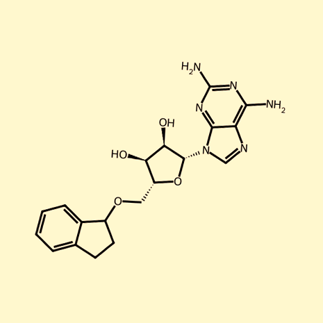 Nc1nc(N)c2ncn([C@@H]3O[C@H](COC4CCc5ccccc54)[C@@H](O)[C@H]3O)c2n1